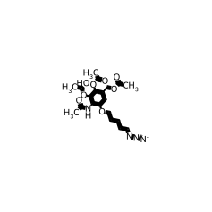 CC(=O)N[C@@H]1[C@@H](OC(C)O)[C@@H](OC(C)=O)[C@@H](COC(C)=O)C[C@H]1OCCCCCN=[N+]=[N-]